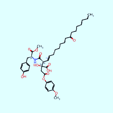 CCCCCCCC(=O)CCCCCC/C=C/[C@H](C(=O)N[C@@H](Cc1ccc(O)cc1)C(=O)OC)[C@@](O)(CC(=O)Oc1ccc(OC)cc1)C(=O)O